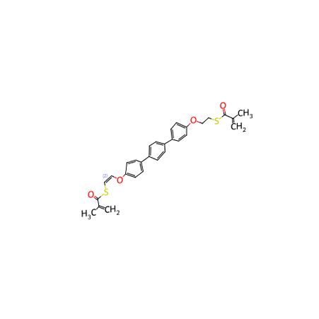 C=C(C)C(=O)S/C=C\Oc1ccc(-c2ccc(-c3ccc(OCCSC(=O)C(=C)C)cc3)cc2)cc1